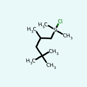 CC(CC(C)(C)C)C[Si](C)(C)Cl